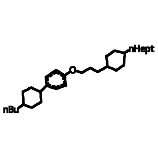 CCCCCCCC1CCC(CCCOc2ccc(C3CCC(CCCC)CC3)cc2)CC1